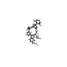 Cc1cccc(C)c1-c1cc2nc(n1)NS(=O)(=O)c1cccc(c1)C(=O)N(Cc1cccc(N)n1)[C@H](CC(C)(C)C)CO2